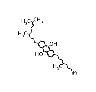 CC(C)=CCCC(C)CCCc1ccc2c(O)c3cc(CC/C=C(\C)CCCC(C)C)ccc3c(O)c2c1